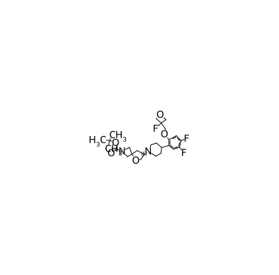 CC(C)(C)OC(=O)N1CC2(C[C@H](N3CCC(c4cc(F)c(F)cc4OCC4(F)COC4)CC3)CO2)C1